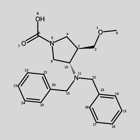 COC[C@@H]1CN(C(=O)O)C[C@H]1N(Cc1ccccc1)Cc1ccccc1